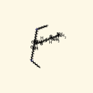 CCCCCCCC/C=C\CCCCCCCCNC(=O)CCC(NC(=O)CCC(=O)NCCSSCCNC(=O)C(N)CCCNC(=N)N)C(=O)NCCCCCCCC/C=C\CCCCCCCC